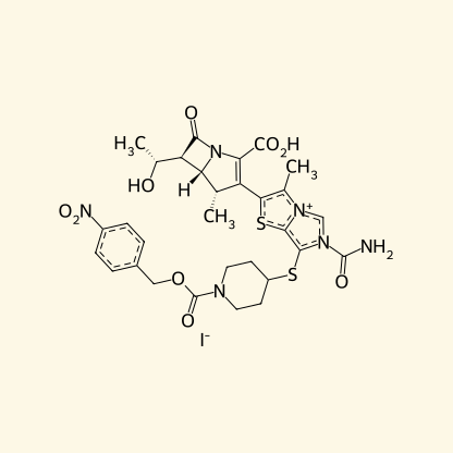 Cc1c(C2=C(C(=O)O)N3C(=O)[C@H]([C@@H](C)O)[C@H]3[C@H]2C)sc2c(SC3CCN(C(=O)OCc4ccc([N+](=O)[O-])cc4)CC3)n(C(N)=O)c[n+]12.[I-]